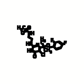 CC(C)(OCc1ccc(F)cc1F)c1nc(NCCNS(C)(=O)=O)[nH]c(=O)c1Cl